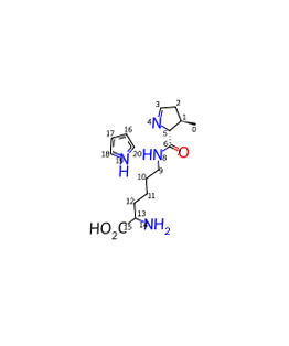 C[C@@H]1CC=N[C@H]1C(=O)NCCCCC(N)C(=O)O.c1cc[nH]c1